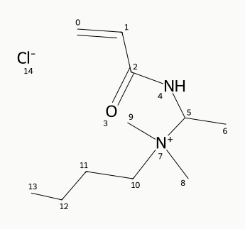 C=CC(=O)NC(C)[N+](C)(C)CCCC.[Cl-]